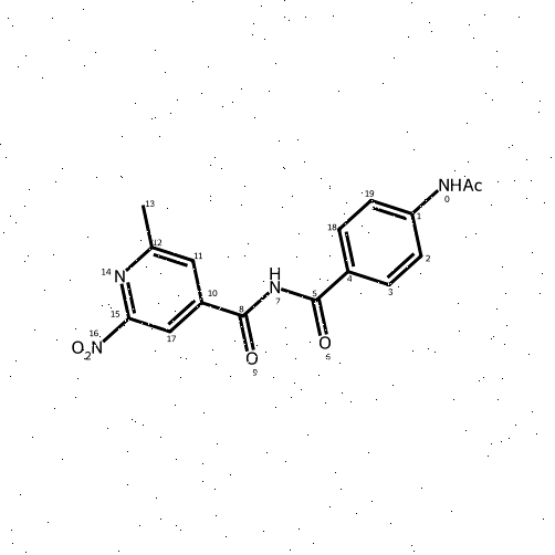 CC(=O)Nc1ccc(C(=O)NC(=O)c2cc(C)nc([N+](=O)[O-])c2)cc1